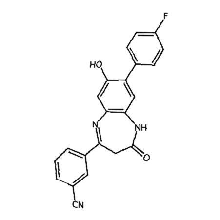 N#Cc1cccc(C2=Nc3cc(O)c(-c4ccc(F)cc4)cc3NC(=O)C2)c1